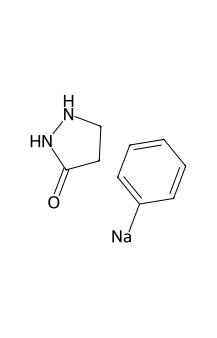 O=C1CCNN1.[Na][c]1ccccc1